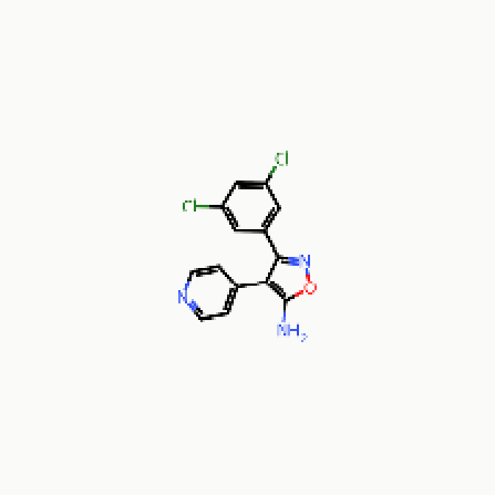 Nc1onc(-c2cc(Cl)cc(Cl)c2)c1-c1ccncc1